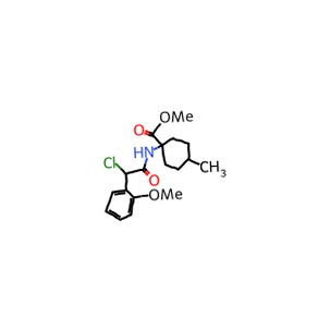 COC(=O)C1(NC(=O)C(Cl)c2ccccc2OC)CCC(C)CC1